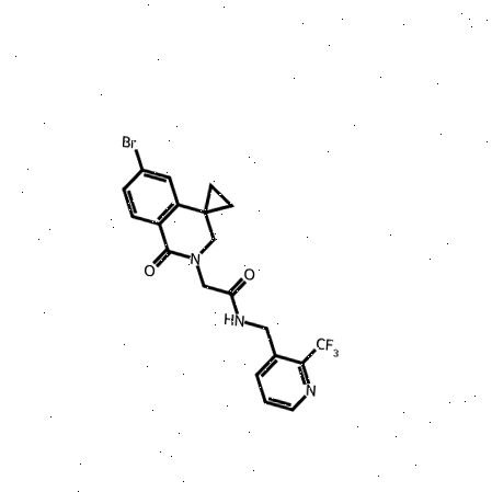 O=C(CN1CC2(CC2)c2cc(Br)ccc2C1=O)NCc1cccnc1C(F)(F)F